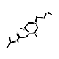 COCCN1C[C@@H](C)N(CC(=O)NC(C)C)[C@@H](C)C1